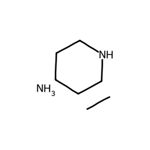 C1CCNCC1.CC.N